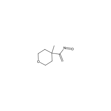 C=C(N=O)C1(C)CCOCC1